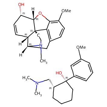 COc1ccc2c3c1O[C@H]1[C@@H](O)C=C[C@H]4[C@@H](C2)N(C)CC[C@@]341.COc1cccc([C@@]2(O)CCCC[C@@H]2CN(C)C)c1